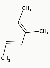 CC=C(C)/C=C/C